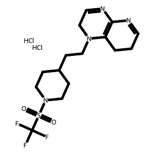 Cl.Cl.O=S(=O)(N1CCC(CCN2CC=NC3=C2CCC=N3)CC1)C(F)(F)F